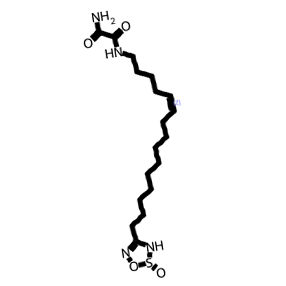 NC(=O)C(=O)NCCCC/C=C\CCCCCCCCCC1=NOS(=O)N1